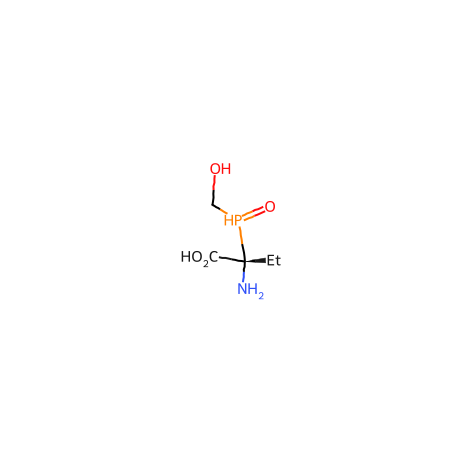 CC[C@@](N)(C(=O)O)[PH](=O)CO